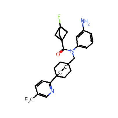 Nc1cccc(N(CC23CCC(c4ccc(C(F)(F)F)cn4)(CC2)CC3)C(=O)C23CC(F)(C2)C3)c1